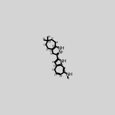 CNC1=Cc2[nH]c(C3=NNC4=C(CCC(C)(C)CC4)C3)cc2CC=C1